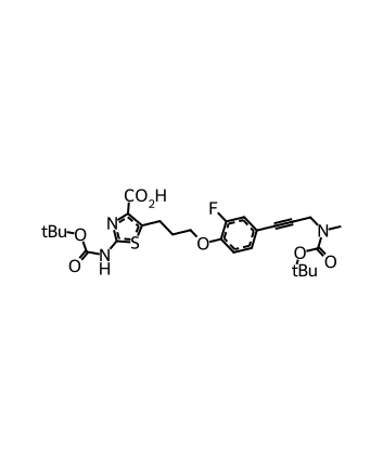 CN(CC#Cc1ccc(OCCCc2sc(NC(=O)OC(C)(C)C)nc2C(=O)O)c(F)c1)C(=O)OC(C)(C)C